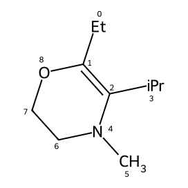 CCC1=C(C(C)C)N(C)CCO1